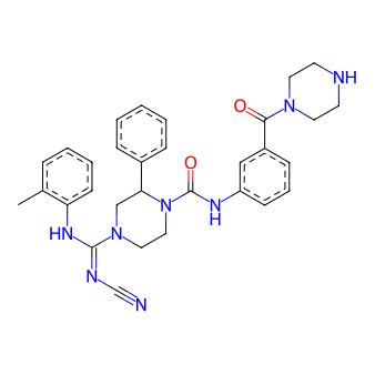 Cc1ccccc1N/C(=N/C#N)N1CCN(C(=O)Nc2cccc(C(=O)N3CCNCC3)c2)C(c2ccccc2)C1